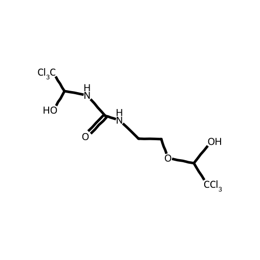 O=C(NCCOC(O)C(Cl)(Cl)Cl)NC(O)C(Cl)(Cl)Cl